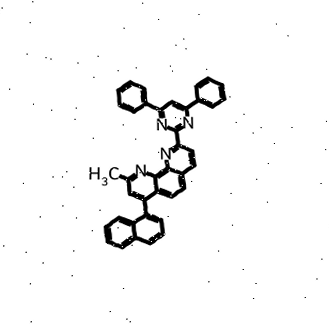 Cc1cc(-c2cccc3ccccc23)c2ccc3ccc(-c4nc(-c5ccccc5)cc(-c5ccccc5)n4)nc3c2n1